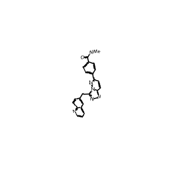 CNC(=O)c1ccc(-c2ccc3nnc(Cc4ccc5ncccc5c4)n3n2)cc1